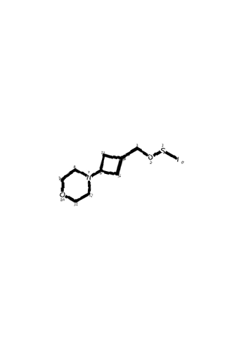 ISOCC1CC(N2CCOCC2)C1